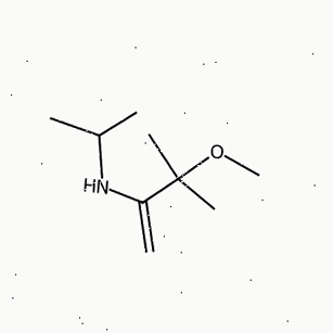 C=C(NC(C)C)C(C)(C)OC